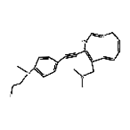 CN(C)CC1=C(\C#Cc2ccc(N(C)CCF)cc2)N/C=N/CC=C\C=C\1